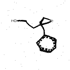 OCCC1(c2ccccc2)CO1